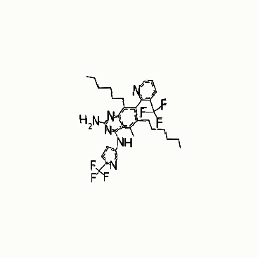 CCCCCCc1c(-c2ncccc2C(F)(F)F)c(CCCCCC)c2nc(N)nc(Nc3ccc(C(F)(F)F)nc3)c2c1C